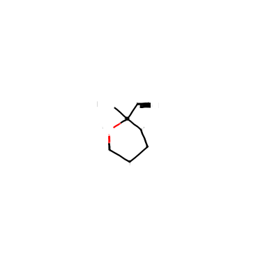 C=CC1(C)CCCCO1